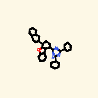 c1ccc(C2=NC(c3ccc(-c4ccc5ccccc5c4)c4oc5ccccc5c34)NC(c3ccccc3)=N2)cc1